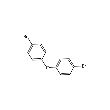 Brc1ccc([I+]c2ccc(Br)cc2)cc1